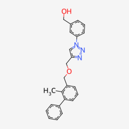 Cc1c(COCc2cn(-c3cccc(CO)c3)nn2)cccc1-c1ccccc1